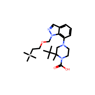 CC(C)(C)C1(C)CN(c2cccc3cnn(COCC[Si](C)(C)C)c23)CCN1C(=O)O